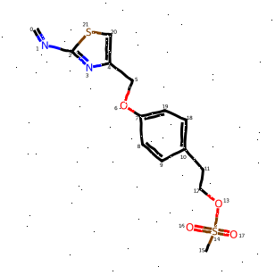 C=Nc1nc(COc2ccc(CCOS(C)(=O)=O)cc2)cs1